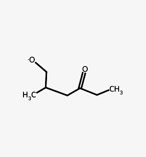 CCC(=O)CC(C)C[O]